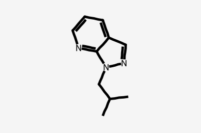 CC(C)Cn1ncc2cccnc21